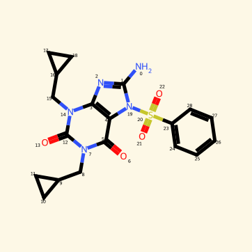 Nc1nc2c(c(=O)n(CC3CC3)c(=O)n2CC2CC2)n1S(=O)(=O)c1ccccc1